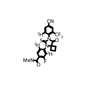 [2H]c1cc(C#N)cc(C(F)(F)F)c1N1C(=O)C2(CCC2)N(c2c([2H])cc(C(=O)NC)c(F)c2[2H])C1=S